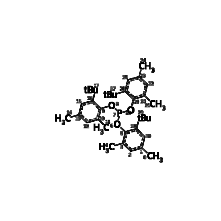 Cc1cc(C)c(OP(Oc2c(C)cc(C)cc2C(C)(C)C)Oc2c(C)cc(C)cc2C(C)(C)C)c(C(C)(C)C)c1